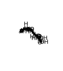 Cc1ccc(/C=N/Nc2ccc(C(=O)NCCCCCNC(=O)NC(CCC(=O)O)C(=O)O)cc2)cc1